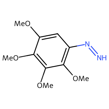 COc1cc(N=N)c(OC)c(OC)c1OC